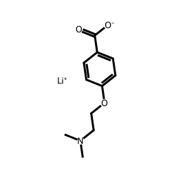 CN(C)CCOc1ccc(C(=O)[O-])cc1.[Li+]